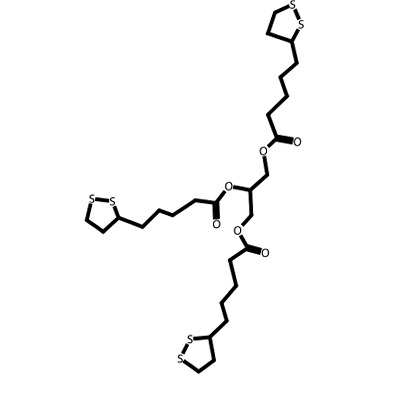 O=C(CCCCC1CCSS1)OCC(COC(=O)CCCCC1CCSS1)OC(=O)CCCCC1CCSS1